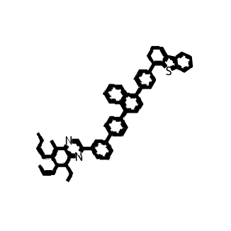 C/C=C\C1C(/C=C\CC)=C(C)c2ncc(-c3cccc(-c4ccc(-c5ccc(-c6ccc(C7=c8sc9ccccc9c8=CCC7)cc6)c6ccccc56)cc4)c3)nc2C1CC